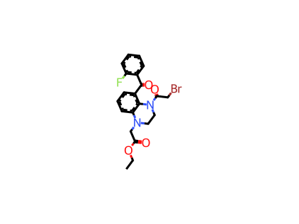 CCOC(=O)CN1CCN(C(=O)CBr)c2c(C(=O)c3ccccc3F)cccc21